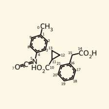 Cc1ccc(N=C=O)cc1.O=C(O)C1CC1.O=C(O)Cc1ccccc1